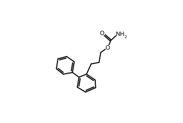 NC(=O)OCCCc1ccccc1-c1ccccc1